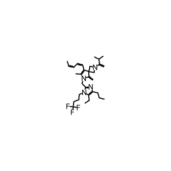 C=C(C(C)C)N1CC2(C1)C(=C)N(Cc1nc(CCC)c(CC)n1CCCC(F)(F)F)C(C)=C2/C=C\C=C/C